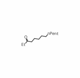 CCCCCCCCCCC(=O)CC